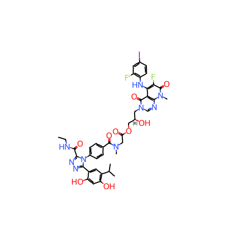 CCNC(=O)c1nnc(-c2cc(C(C)C)c(O)cc2O)n1-c1ccc(C(=O)N(C)CC(=O)OC[C@H](O)Cn2cnc3c(c(Nc4ccc(I)cc4F)c(F)c(=O)n3C)c2=O)cc1